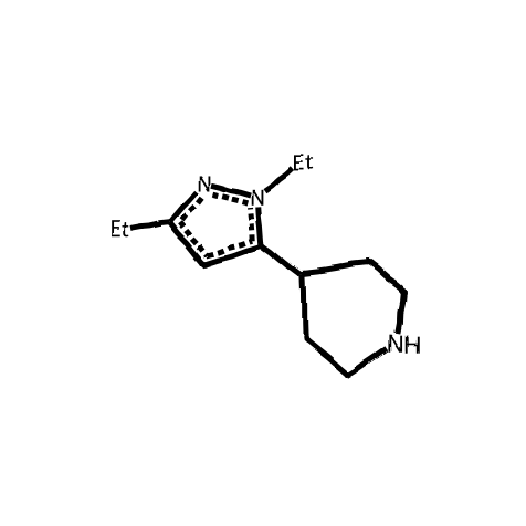 CCc1cc(C2CCNCC2)n(CC)n1